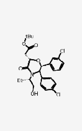 CC[C@@H](CO)N1C(=O)[C@H](CC(=O)OC(C)(C)C)O[C@@H](c2cccc(Cl)c2)C1c1ccc(Cl)cc1